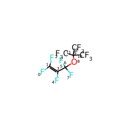 FC(F)=C(F)C(F)(F)OC(C(F)(F)F)(C(F)(F)F)C(F)(F)F